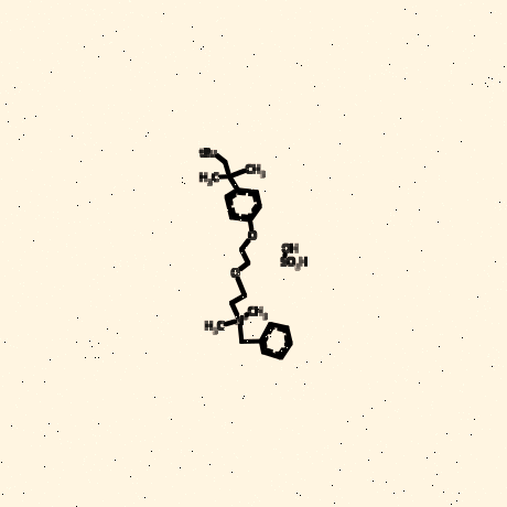 CC(C)(C)CC(C)(C)c1ccc(OCCOCC[N+](C)(C)Cc2ccccc2)cc1.O=S(=O)(O)O